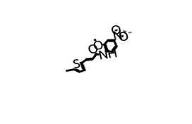 COc1cc([N+](=O)[O-])ccc1NC(=O)/C=C/c1ccc(C)s1